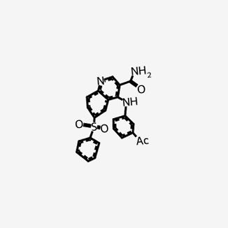 CC(=O)c1cccc(Nc2c(C(N)=O)cnc3ccc(S(=O)(=O)c4ccccc4)cc23)c1